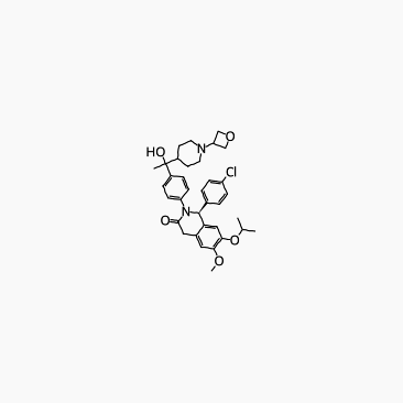 COc1cc2c(cc1OC(C)C)[C@H](c1ccc(Cl)cc1)N(c1ccc(C(C)(O)C3CCN(C4COC4)CC3)cc1)C(=O)C2